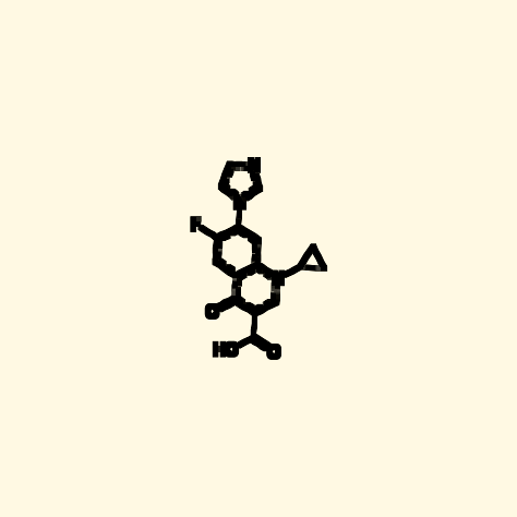 O=C(O)c1cn(C2CC2)c2cc(-n3ccnc3)c(F)cc2c1=O